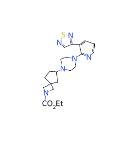 CCOC(=O)N1CC2(CCC(N3CCN(c4ncccc4-c4cnsn4)CC3)C2)C1